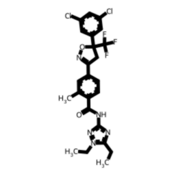 CCc1nc(NC(=O)c2ccc(C3=NOC(c4cc(Cl)cc(Cl)c4)(C(F)(F)F)C3)cc2C)nn1CC